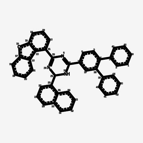 c1ccc(-c2ccc(C3=NC(c4cccc5oc6ccccc6c45)=NC(c4cccc5ccccc45)N3)cc2-c2ccccc2)cc1